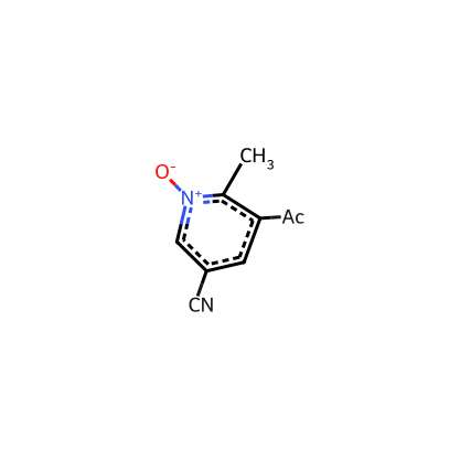 CC(=O)c1cc(C#N)c[n+]([O-])c1C